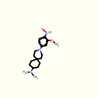 COc1cc(N2CCC3(CCC(N(C)C)CC3)CC2)ccc1[N+](=O)[O-]